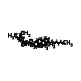 CCCCCCCC[C@H]1CCC2C3CC=C4CC(OC(=O)NCC(=O)N5C[C@@H](CC)[C@@H](CC)C5)CC[C@]4(C)C3CC[C@@]21C